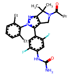 CCc1cccc(CC)c1-n1nc2c(c1-c1cc(F)c(NC(N)=O)cc1F)CN(C(=O)C(C)C)C2(C)C